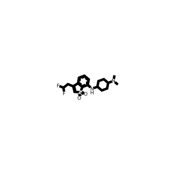 CN(C)C1CCC(Nc2cccc3c2S(=O)(=O)C=C3CC(F)F)CC1